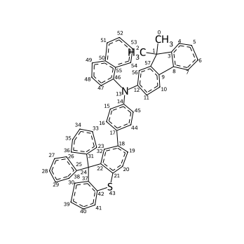 CC1(C)c2ccccc2-c2ccc(N(c3ccc(-c4ccc5c(c4)C(c4ccccc4)(c4ccccc4)c4ccccc4S5)cc3)c3cccc4ccccc34)cc21